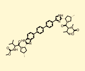 COC(=O)NC(C(=O)N1C[C@@H](C)C[C@H]1c1nc2cc(-c3ccc(-c4ccc(-c5c[nH]c([C@@H]6C[C@H](C)CN6C(=O)C(C(C)C)N(C)C(=O)O)n5)cc4)cc3)ccc2[nH]1)C(C)C